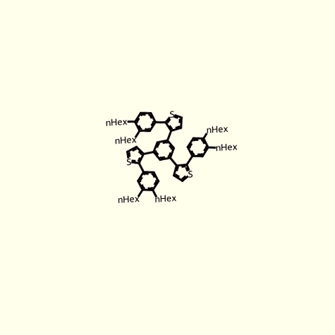 CCCCCCc1ccc(-c2sccc2-c2cc(-c3ccsc3-c3ccc(CCCCCC)c(CCCCCC)c3)cc(-c3ccsc3-c3ccc(CCCCCC)c(CCCCCC)c3)c2)cc1CCCCCC